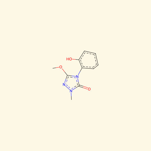 COc1nn(C)c(=O)n1-c1ccccc1O